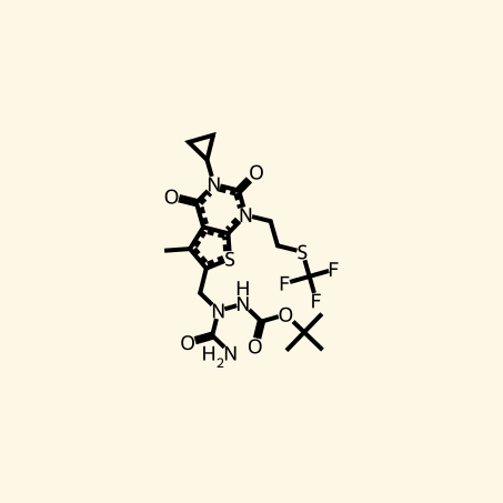 Cc1c(CN(NC(=O)OC(C)(C)C)C(N)=O)sc2c1c(=O)n(C1CC1)c(=O)n2CCSC(F)(F)F